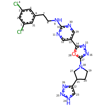 Clc1cc(Cl)cc(CCNc2ncc(-c3nnc(N4CCC(c5c[nH]nn5)C4)o3)cn2)c1